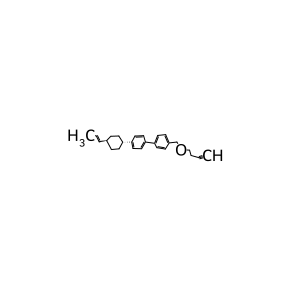 C#CCCOCc1ccc(-c2ccc([C@H]3CC[C@H](C=CC)CC3)cc2)cc1